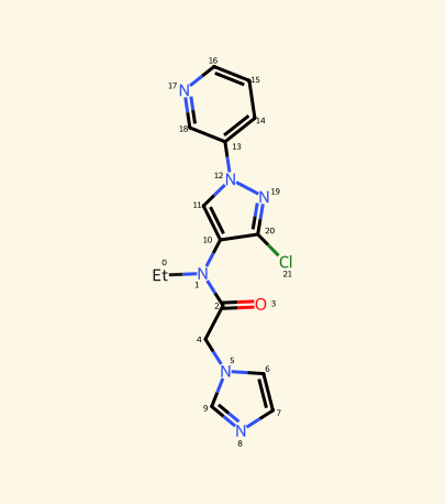 CCN(C(=O)Cn1ccnc1)c1cn(-c2cccnc2)nc1Cl